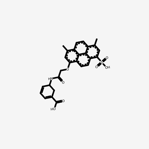 Cc1cc(OCC(=O)NC2C=CC=C(C(=O)O)C2)c2ccc3c(S(=O)(=O)O)cc(C)c4ccc1c2c43